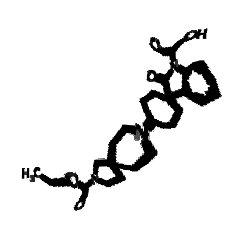 CCOC(=O)N1CCC2(CCN(C3CCC4(CC3)C(=O)N(C(=O)O)c3ccccc34)CC2)C1